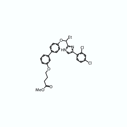 CCC(Oc1ccc(-c2cccc(OCCCC(=O)OC)c2)cc1)c1nc(-c2ccc(Cl)cc2Cl)c[nH]1